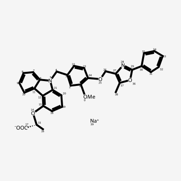 COc1cc(Cn2c3ccccc3c3c(O[C@H](C)C(=O)[O-])cccc32)ccc1OCc1nc(-c2ccccc2)oc1C.[Na+]